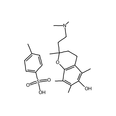 Cc1c(C)c2c(c(C)c1O)CCC(C)(CCN(C)C)O2.Cc1ccc(S(=O)(=O)O)cc1